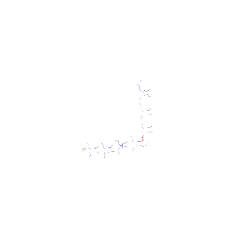 C=CC[N+](CC=C)(CC=C)CC=C.C=CC[N+](CC=C)(CC=C)CC=C.C=CC[N+](CC=C)(CC=C)CC=C.C=CC[N+](CC=C)(CC=C)CC=C.C=CC[N+](CC=C)(CC=C)CC=C.C=CC[N+](CC=C)(CC=C)CC=C.C=CC[N+](CC=C)(CC=C)CC=C.[F-].[F-].[F-].[F-].[O-]B([O-])[O-]